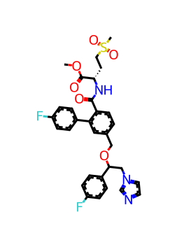 COC(=O)[C@H](CCS(C)(=O)=O)NC(=O)c1ccc(COC(Cn2ccnc2)c2ccc(F)cc2)cc1-c1ccc(F)cc1